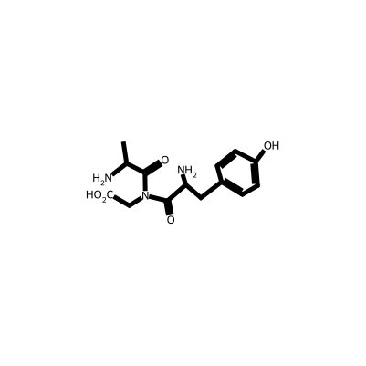 CC(N)C(=O)N(CC(=O)O)C(=O)C(N)Cc1ccc(O)cc1